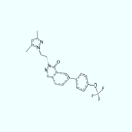 Cc1cc(C)n(CCn2ncc3ccc(-c4ccc(OC(F)(F)F)cc4)cc3c2=O)n1